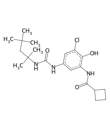 CC(C)(C)CC(C)(C)NC(=O)Nc1cc(Cl)c(O)c(NC(=O)C2CCC2)c1